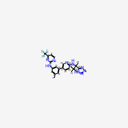 Cc1cc(Nc2nccc(C(F)(F)F)n2)cc(-c2ccc(NC(C)(c3nnn[nH]3)C(C)(C)C)nc2)c1